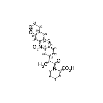 C=C(C(=O)N1CCCCC1C(=O)O)c1ccc(Sc2ccc3c(c2)CCOO3)c([N+](=O)[O-])c1